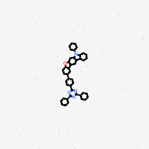 c1ccc(-c2nc(-c3ccccc3)nc(-c3ccc(-c4ccc5oc6cc7c(cc6c5c4)c4ccccc4n7-c4ccccc4)cc3)n2)cc1